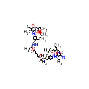 CCCCC(CC)Cn1c(O)c(N=Nc2ccc(SCNCC(C)OC(=O)CCCCC(=O)OC(C)CNSCc3ccc(N=Nc4c(C)c(C#N)c(=O)n(CC(CCC)CCCC)c4O)cc3C)c(CC)c2)c(C)c(C#N)c1=O